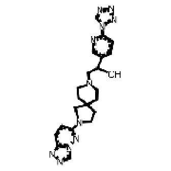 OC(CN1CCC2(CC1)CCN(c1ccc3nncn3n1)C2)c1ccc(-n2cnnn2)nc1